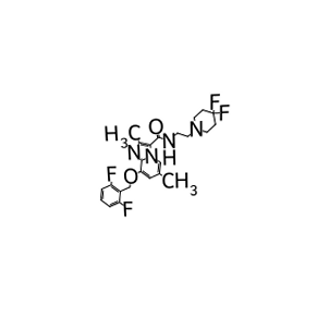 Cc1cc(OCc2c(F)cccc2F)c2nc(C)c(C(=O)NCCN3CCC(F)(F)CC3)n2c1